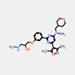 CNCC(O)COc1cccc(-c2nc(-c3c(C)noc3C)cc(N(C)CC3CCOCC3)n2)c1